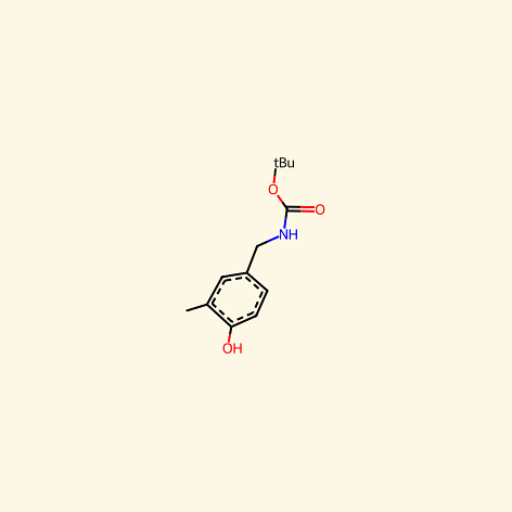 Cc1cc(CNC(=O)OC(C)(C)C)ccc1O